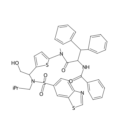 CC(C)CN(C(CO)c1ccc(N(C)C(=O)C(NC(=O)c2ccccc2)C(c2ccccc2)c2ccccc2)s1)S(=O)(=O)c1ccc2ncsc2c1